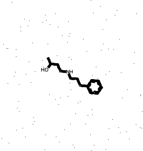 CC(O)CCNCCCc1ccccc1